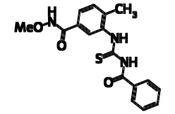 CONC(=O)c1ccc(C)c(NC(=S)NC(=O)c2ccccc2)c1